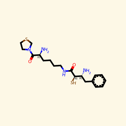 N[C@H](Cc1ccccc1)[C@@H](S)C(=O)NCCCC[C@H](N)C(=O)N1CCSC1